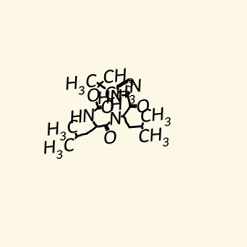 CC(C)CC(NC(=O)OC(C)(C)C)C(=O)NC(CC(C)C)C(=O)c1ncc[nH]1